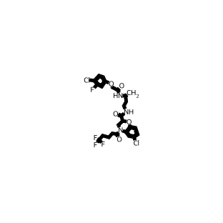 C=C(CCNC(=O)C1CN(C(=O)CCCC(F)(F)F)c2cc(Cl)ccc2O1)NC(=O)COc1ccc(Cl)c(F)c1